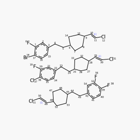 Fc1cc(CCC2CCC(/C=C/Cl)CC2)ccc1Br.Fc1cc(CCC2CCC(/C=C/Cl)CC2)ccc1Cl.Fc1ccc(CCC2CCC(/C=C/Cl)CC2)cc1F